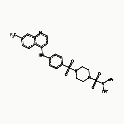 CCCN(CCC)S(=O)(=O)N1CCN(S(=O)(=O)c2ccc(Nc3ccnc4cc(C(F)(F)F)ccc34)cc2)CC1